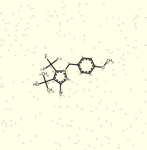 COc1ccc(Cn2nc(Br)c(C(C)(C)O)c2C(F)(F)F)cc1